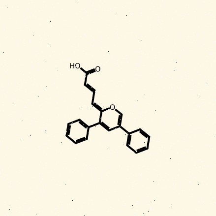 O=C(O)C=CC=C1OC=C(c2ccccc2)C=C1c1ccccc1